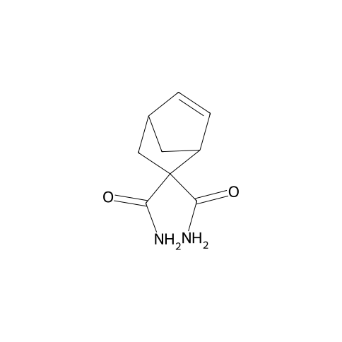 NC(=O)C1(C(N)=O)CC2C=CC1C2